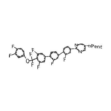 CCCCCc1cnc(-c2ccc(-c3ccc(-c4cc(F)c(C(F)(F)Oc5ccc(F)c(F)c5)c(F)c4)c(F)c3)c(F)c2)nc1